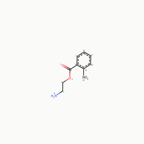 NCCOC(=O)c1ccccc1[N+](=O)[O-]